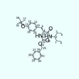 CCC(CC)NC(=O)[C@H](Cc1ccc(OC(C)(C)C)cc1)NC(=O)OCc1ccccc1